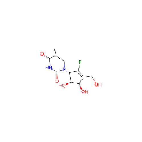 CC1CN([C@@H]2C(F)=C(CO)[C@@H](O)[C@H]2O)C(=O)NC1=O